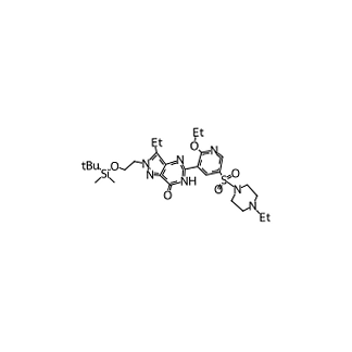 CCOc1ncc(S(=O)(=O)N2CCN(CC)CC2)cc1-c1nc2c(CC)n(CCO[Si](C)(C)C(C)(C)C)nc2c(=O)[nH]1